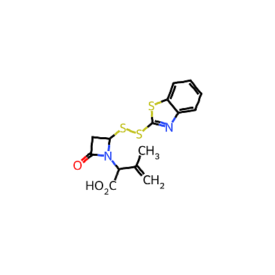 C=C(C)C(C(=O)O)N1C(=O)CC1SSc1nc2ccccc2s1